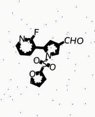 O=Cc1cc(-c2cccnc2F)n(S(=O)(=O)c2ccco2)c1